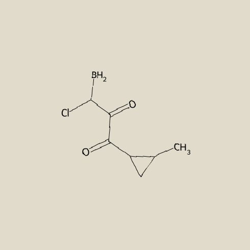 BC(Cl)C(=O)C(=O)C1CC1C